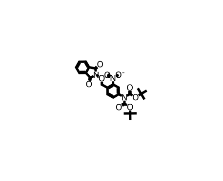 CC(C)(C)OC(=O)N(C(=O)OC(C)(C)C)c1ccc(CON2C(=O)c3ccccc3C2=O)c([N+](=O)[O-])c1